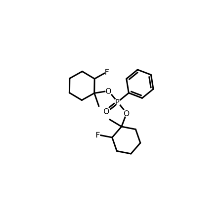 CC1(OP(=O)(OC2(C)CCCCC2F)c2ccccc2)CCCCC1F